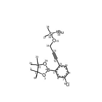 CC1(C)OB(c2cc(Cl)ccc2C#CCO[Si](C)(C)C(C)(C)C)OC1(C)C